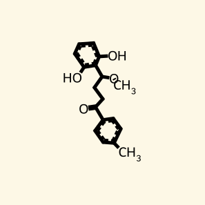 COC(CCC(=O)c1ccc(C)cc1)c1c(O)cccc1O